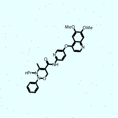 CCCN1C(C)=C(C(=O)Nc2ccc(Oc3ccnc4cc(OC)c(OC)cc34)cn2)CON1c1ccccc1